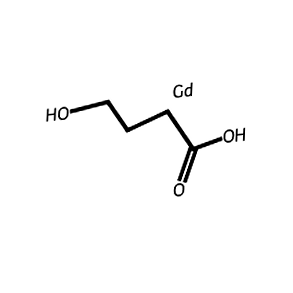 O=C(O)CCCO.[Gd]